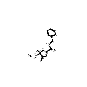 CC1CN(C(=O)OCc2ccccc2)CC1(C)C(=O)O